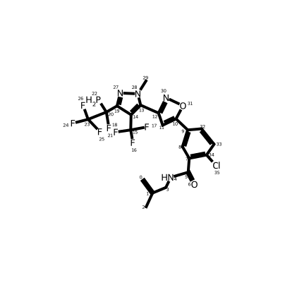 C=C(C)CNC(=O)c1cc(-c2cc(-c3c(C(F)(F)F)c(C(F)(P)C(F)(F)F)nn3C)no2)ccc1Cl